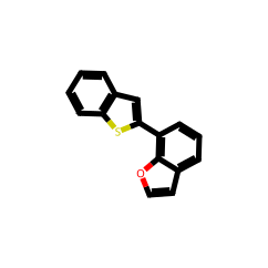 [c]1cccc2cc(-c3cccc4ccoc34)sc12